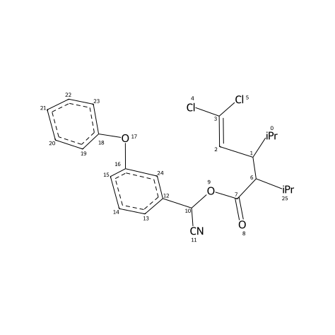 CC(C)C(C=C(Cl)Cl)C(C(=O)OC(C#N)c1cccc(Oc2ccccc2)c1)C(C)C